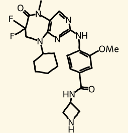 COc1cc(C(=O)NC2CNC2)ccc1Nc1ncc2c(n1)N(C1CCCCC1)CC(F)(F)C(=O)N2C